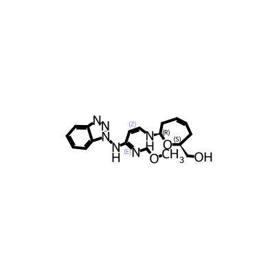 COC/N=C(\C=C/N[C@H]1CC=CC[C@@H](CO)O1)Nn1nnc2ccccc21